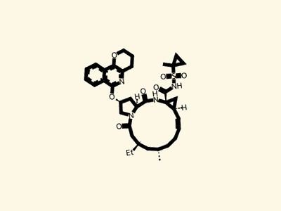 CC[C@H]1CC(=O)N2C[C@H](Oc3nc4c(c5ccccc35)OCCC4)C[C@H]2C(=O)N[C@]2(C(=O)NS(=O)(=O)C3(C)CC3)C[C@H]2/C=C\CC[C@H](C)C1